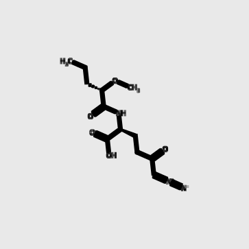 CCC[C@H](OC)C(=O)N[C@@H](CCC(=O)C=[N+]=[N-])C(=O)O